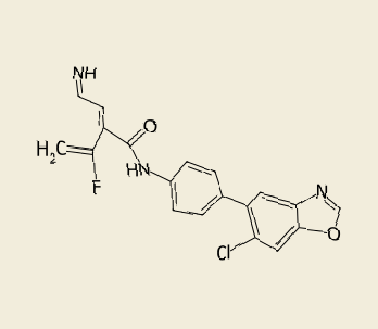 C=C(F)/C(=C\C=N)C(=O)Nc1ccc(-c2cc3ncoc3cc2Cl)cc1